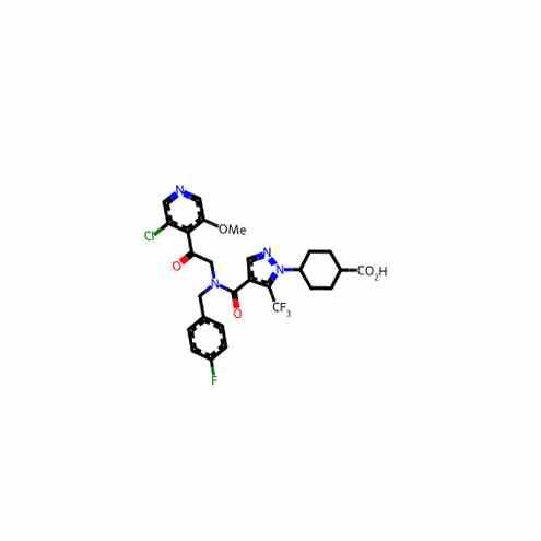 COc1cncc(Cl)c1C(=O)CN(Cc1ccc(F)cc1)C(=O)c1cnn(C2CCC(C(=O)O)CC2)c1C(F)(F)F